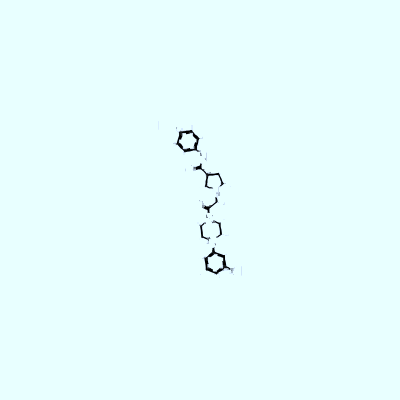 O=C(Nc1ccc(O)cc1)C1CCN(CC(=O)N2CCN(c3cccc(Cl)c3)CC2)C1